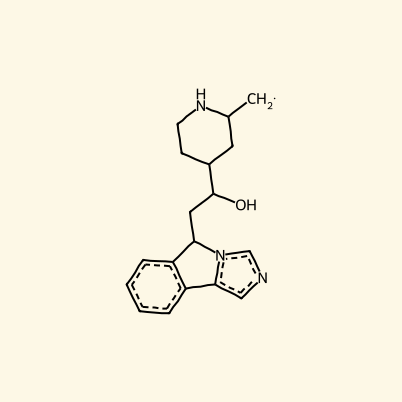 [CH2]C1CC(C(O)CC2c3ccccc3-c3cncn32)CCN1